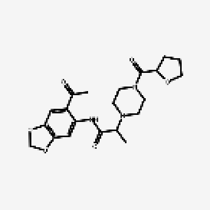 CC(=O)c1cc2c(cc1NC(=O)C(C)N1CCN(C(=O)C3CCCO3)CC1)OCO2